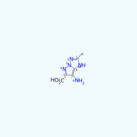 Cc1nn2nc(C(=O)O)c(N)c2[nH]1